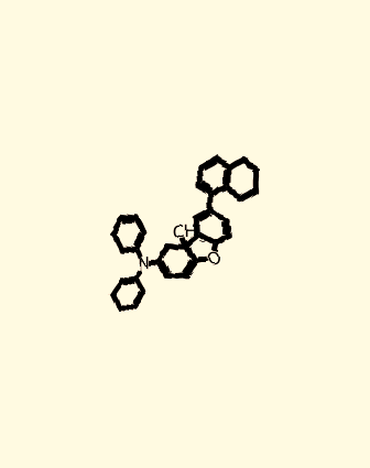 CC12CC(N(C3=CCCC=C3)C3=CC=CCC3)=CC=C1OC1C=CC(c3cccc4c3CCCC4)=CC12